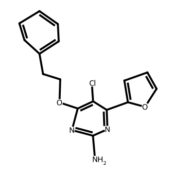 Nc1nc(OCCc2ccccc2)c(Cl)c(-c2ccco2)n1